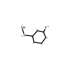 FC1CCCC(SS)C1